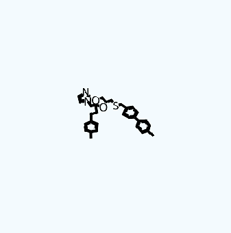 Cc1ccc(CCC2(Cn3ccnc3)OCC(CSCc3ccc(-c4ccc(C)cc4)cc3)O2)cc1